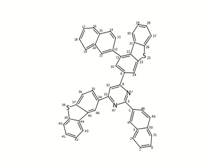 c1ccc2cc(-c3nc(-c4cc(-c5ccc6ccccc6c5)c5c(c4)sc4ccccc45)cc(-c4ccc5sc6ccccc6c5c4)n3)ccc2c1